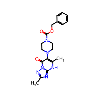 Cc1nc2[nH]c(C)c(N3CCN(C(=O)OCc4ccccc4)CC3)c(=O)n2n1